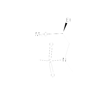 CC[C@@H](CN(C)S(C)(=O)=O)OC